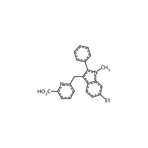 CCc1ccc2c(Cc3cccc(C(=O)O)n3)c(-c3ccccc3)n(C)c2c1